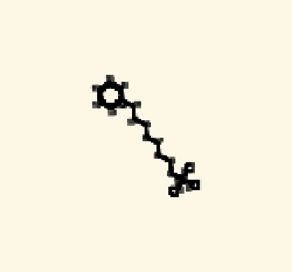 Cl[Si](Cl)(Cl)CCCCCCCCc1ccccc1